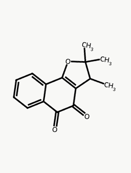 CC1C2=C(OC1(C)C)c1ccccc1C(=O)C2=O